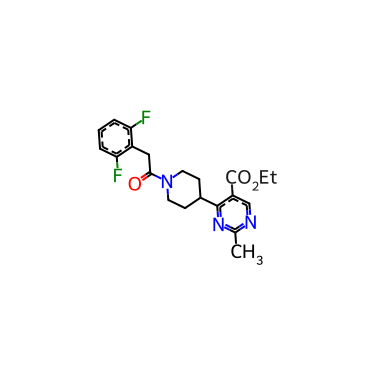 CCOC(=O)c1cnc(C)nc1C1CCN(C(=O)Cc2c(F)cccc2F)CC1